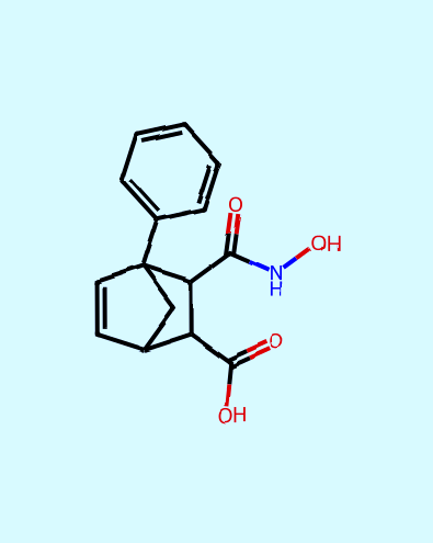 O=C(O)C1C2C=CC(c3ccccc3)(C2)C1C(=O)NO